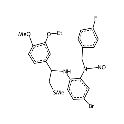 CCOc1cc(C(CSC)Nc2ccc(Br)cc2N(Cc2ccc(F)cc2)N=O)ccc1OC